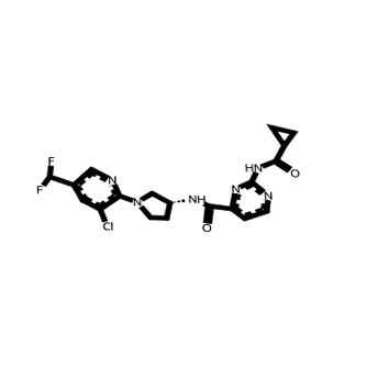 O=C(N[C@@H]1CCN(c2ncc(C(F)F)cc2Cl)C1)c1ccnc(NC(=O)C2CC2)n1